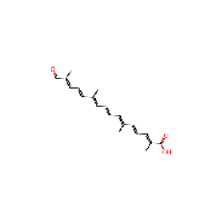 C\C(C=O)=C/C=C/C(C)=C/C=C/C=C(C)/C=C/C=C(\C)C(=O)O